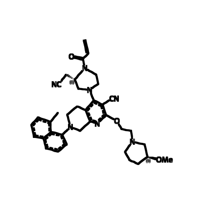 C=CC(=O)N1CCN(c2c(C#N)c(OCCN3CCC[C@H](OC)C3)nc3c2CCN(c2cccc4cccc(C)c24)C3)C[C@@H]1CC#N